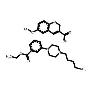 CCOC(=O)c1cccc(N2CCN(CCCCN)CC2)c1.COc1ccc2c(c1)C=C(C(=O)O)CO2